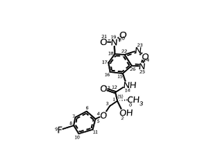 C[C@](O)(COc1ccc(F)cc1)C(=O)Nc1ccc([N+](=O)[O-])c2nonc12